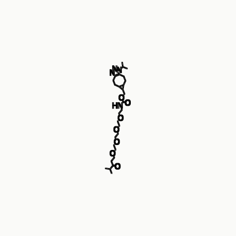 CC(C)C(=O)CCOCCOCCOCCOCCNC(=O)OCC1C2CCc3nnn(C(C)C)c3CCC21